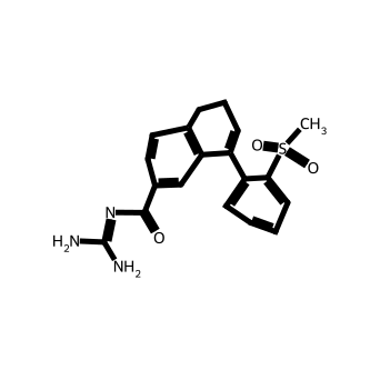 CS(=O)(=O)c1ccccc1C1=CCCc2ccc(C(=O)N=C(N)N)cc21